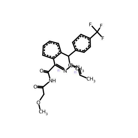 C/C=N/OC(c1ccc(C(F)(F)F)cc1)c1ccccc1/C(=N\OC)C(=O)NC(=O)COC